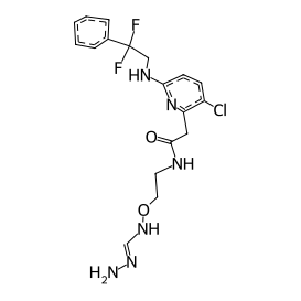 NN=CNOCCNC(=O)Cc1nc(NCC(F)(F)c2ccccc2)ccc1Cl